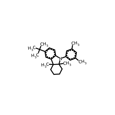 Cc1cc(C)cc(N2c3ccc(C(C)(C)C)cc3C3(C)CCCCC23C)c1